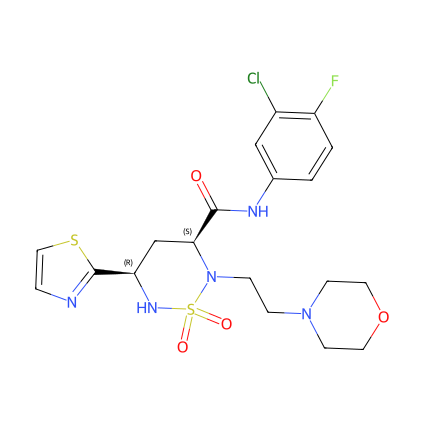 O=C(Nc1ccc(F)c(Cl)c1)[C@@H]1C[C@H](c2nccs2)NS(=O)(=O)N1CCN1CCOCC1